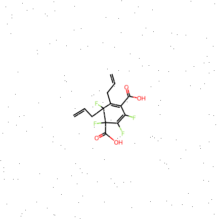 C=CCC1=C(C(=O)O)C(F)=C(F)C(F)(C(=O)O)C1(F)CC=C